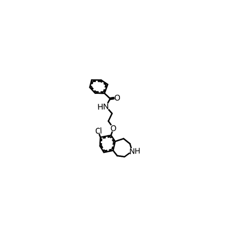 O=C(NCCOc1c(Cl)ccc2c1CCNCC2)c1ccccc1